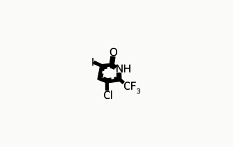 O=c1[nH]c(C(F)(F)F)c(Cl)cc1I